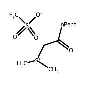 CCCCCC(=O)C[S+](C)C.O=S(=O)([O-])C(F)(F)F